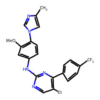 CCc1cnc(Nc2ccc(-n3cnc(C)c3)c(OC)c2)nc1-c1ccc(C(F)(F)F)cc1